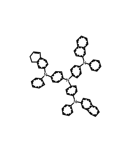 C1=Cc2ccc(N(c3ccccc3)c3ccc(N(c4ccc(N(c5ccccc5)c5ccc6ccccc6c5)cc4)c4ccc(N(c5ccccc5)c5ccc6ccccc6c5)cc4)cc3)cc2CC1